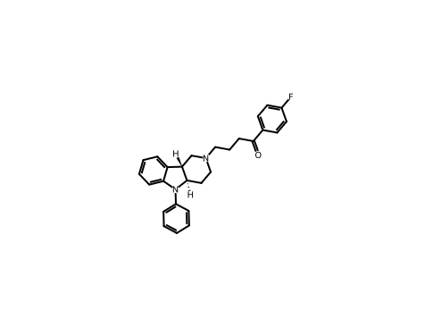 O=C(CCCN1CC[C@@H]2[C@@H](C1)c1ccccc1N2c1ccccc1)c1ccc(F)cc1